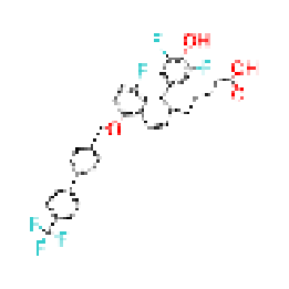 O=C(O)CCCCC(/C=C\c1cc(F)ccc1OCc1ccc(-c2ccc(C(F)(F)F)cc2)cc1)Cc1cc(F)c(O)c(F)c1